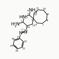 NC1NC(N)C2(CCCCCCC2)CC1/N=N/c1ccccc1